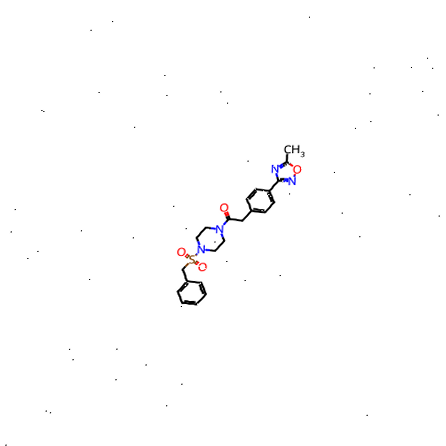 Cc1nc(-c2ccc(CC(=O)N3CCN(S(=O)(=O)Cc4ccccc4)CC3)cc2)no1